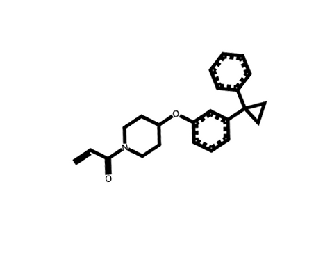 C=CC(=O)N1CCC(Oc2cccc(C3(c4ccccc4)CC3)c2)CC1